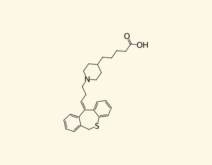 O=C(O)CCCCC1CCN(CCC=C2c3ccccc3CSc3ccccc32)CC1